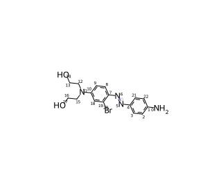 Nc1ccc(/N=N/c2ccc(N(CCO)CCO)cc2Br)cc1